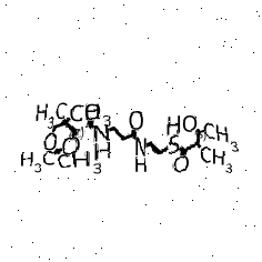 CC(C(=O)SCCNC(=O)CCNC(=O)[C@@H]1OC(C)(C)OCC1(C)C)[C@H](C)O